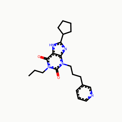 CCCn1c(=O)c2[nH]c(C3CCCC3)nc2n(CCCc2cccnc2)c1=O